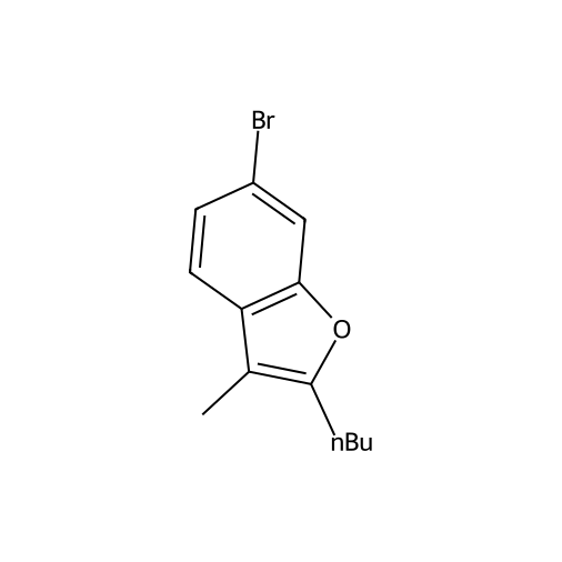 CCCCc1oc2cc(Br)ccc2c1C